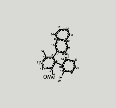 COc1nnc(C)c(-c2ccc3ccccc3c2)c1-c1c(F)cccc1Cl